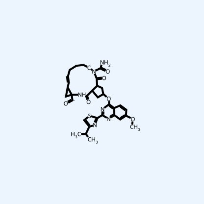 COc1ccc2c(OC3CC4C(=O)NC5([C]=O)CC5/C=C/CCCCN(C(N)=O)C(=O)C4C3)nc(-c3nc(C(C)C)cs3)nc2c1